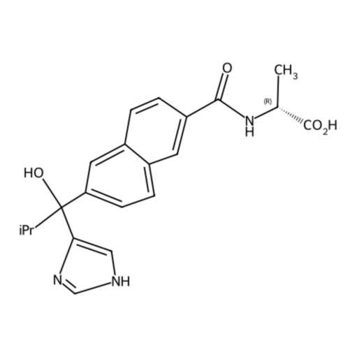 CC(C)C(O)(c1ccc2cc(C(=O)N[C@H](C)C(=O)O)ccc2c1)c1c[nH]cn1